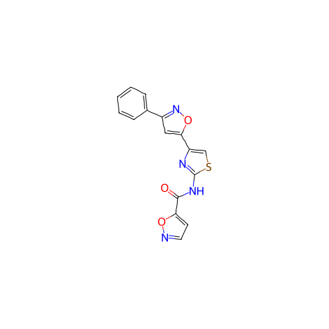 O=C(Nc1nc(-c2cc(-c3ccccc3)no2)cs1)c1ccno1